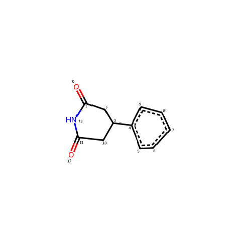 O=C1CC(c2ccccc2)CC(=O)N1